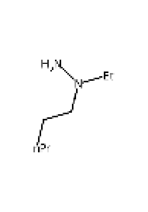 CCCCCN(N)CC